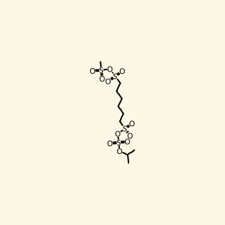 CC(C)OS(=O)(=O)OS(=O)(=O)CCCCCCS(=O)(=O)OS(C)(=O)=O